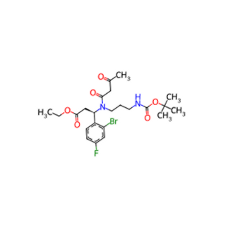 CCOC(=O)C[C@H](c1ccc(F)cc1Br)N(CCCNC(=O)OC(C)(C)C)C(=O)CC(C)=O